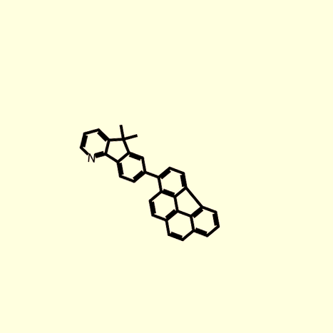 CC1(C)c2cc(-c3ccc4c5c3ccc3ccc6cccc-4c6c35)ccc2-c2ncccc21